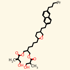 C=C(CO)C(=O)OCC(CCCCC1CCC(CCc2ccc3cc(CCCC(C)C)ccc3c2)CO1)COC(=O)C(C)CO